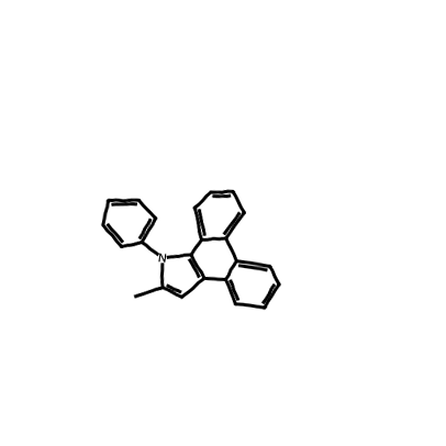 Cc1cc2c3ccccc3c3ccccc3c2n1-c1ccccc1